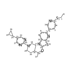 CCSc1ccc(-c2ccc3nc(OC(C)C4CCN(c5ncc(C6CC6)cn5)CC4)sc3n2)cn1